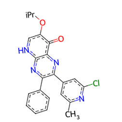 Cc1cc(-c2nc3c(=O)c(OC(C)C)c[nH]c3nc2-c2ccccc2)cc(Cl)n1